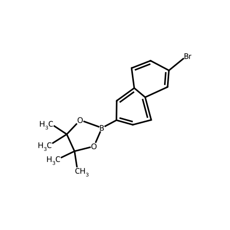 CC1(C)OB(c2ccc3cc(Br)ccc3c2)OC1(C)C